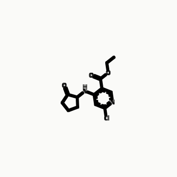 CCOC(=O)c1cnc(Cl)cc1NC1CCCC1=O